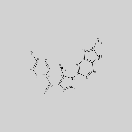 Cc1nc2cc(-n3ncc(C(=O)c4ccc(F)cc4)c3N)ccc2[nH]1